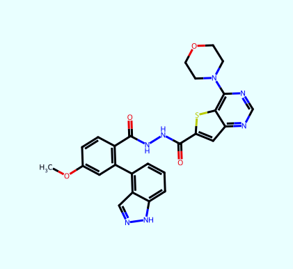 COc1ccc(C(=O)NNC(=O)c2cc3ncnc(N4CCOCC4)c3s2)c(-c2cccc3[nH]ncc23)c1